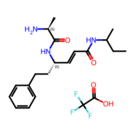 CCC(C)NC(=O)C=C[C@H](CCc1ccccc1)NC(=O)[C@H](C)N.O=C(O)C(F)(F)F